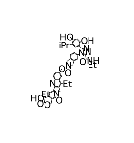 CCNC(=O)c1nnc(-c2cc(C(C)C)c(O)cc2O)n1-c1ccc2c(c1)CN(C(=O)Oc1ccc3nc4c(c(CC)c3c1)Cn1c-4cc3c(c1=O)COC(=O)C3(O)CC)C2